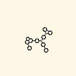 C1=Cc2cc(-c3ccc(N(c4ccc(-c5ccccc5)cc4)c4ccc(-n5c6ccccc6c6ccccc65)cc4)cc3)cc3c(-c4ccccc4)ccc1c23